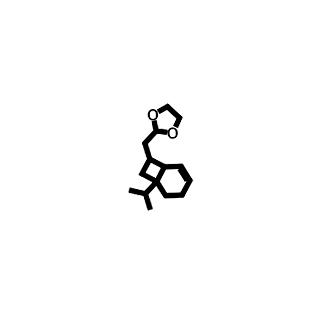 CC(C)C12CCC=CC1C(CC1OCCO1)C2